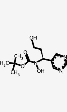 CC(C)(C)OC(=O)N(O)[C@@H](CCO)c1cncnc1